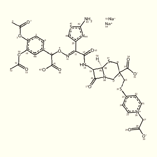 CC(=O)Oc1ccc(C(ON=C(C(=O)NC2C(=O)N3CC(CSc4cc[n+](CC(=O)[O-])cc4)(C(=O)[O-])CS[C@H]23)c2csc(N)n2)C(=O)[O-])cc1OC(C)=O.[Na+].[Na+]